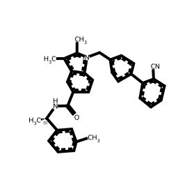 Cc1cccc([C@H](C)NC(=O)c2ccc3c(c2)c(C)c(C)n3Cc2ccc(-c3ccccc3C#N)cc2)c1